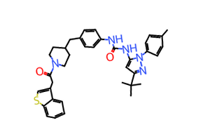 Cc1ccc(-n2nc(C(C)(C)C)cc2NC(=O)Nc2ccc(CC3CCN(C(=O)Cc4csc5ccccc45)CC3)cc2)cc1